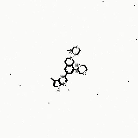 Cc1c[nH]c2ncc(-c3cc4c(c([C@@H]5COCCN5)c3)CN(N3CCOC[C@@H]3C)CC4)nc12